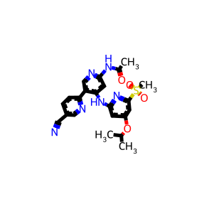 CC(=O)Nc1cc(Nc2cc(OC(C)C)cc(S(C)(=O)=O)n2)c(-c2ccc(C#N)cn2)cn1